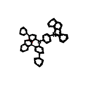 c1ccc(-c2ccc(N(c3ccc(-n4c5ccccc5c5ccc6ccccc6c54)cc3)c3ccc(-c4ccccc4)cc3-c3cccc4ccccc34)cc2)cc1